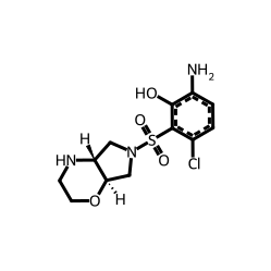 Nc1ccc(Cl)c(S(=O)(=O)N2C[C@H]3NCCO[C@@H]3C2)c1O